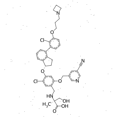 C[C@@](CO)(NCc1cc(Cl)c(O[C@H]2CCc3c(-c4cccc(OCCCN5CCC5)c4Cl)cccc32)cc1OCc1cncc(C#N)c1)C(=O)O